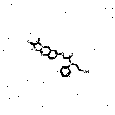 CC1C(=O)NC2=Nc3ccc(OCC(=O)N(CCO)c4ccccc4)cc3CN21